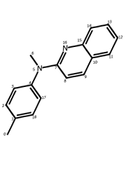 Cc1ccc(N(C)c2ccc3ccccc3n2)cc1